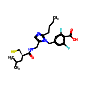 CCCCc1ncc(CNC(=O)[C@@H](CS)CC(C)C)n1Cc1cc(F)c(C(=O)O)c(F)c1